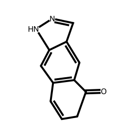 O=C1CC=Cc2cc3[nH]ncc3cc21